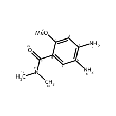 COc1cc(N)c(N)cc1C(=O)N(C)C